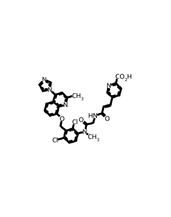 Cc1cc(-n2ccnc2)c2cccc(OCc3c(Cl)ccc(N(C)C(=O)CNC(=O)C=Cc4ccc(C(=O)O)nc4)c3Cl)c2n1